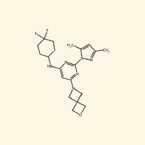 Cc1cc(C)n(-c2nc(NC3CCC(F)(F)CC3)cc(N3CC4(COC4)C3)n2)n1